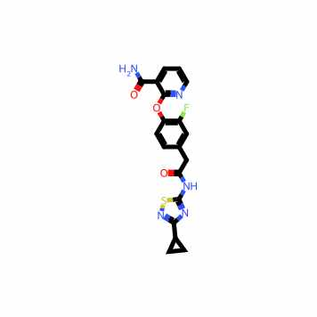 NC(=O)c1cccnc1Oc1ccc(CC(=O)Nc2nc(C3CC3)ns2)cc1F